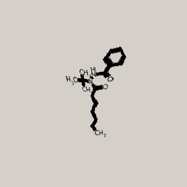 CCCCCCC(=O)N(NC(=O)c1ccccc1)C(C)(C)C